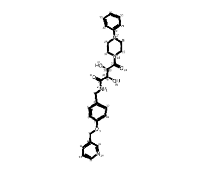 O=C(NCc1ccc(OCc2cccnc2)cc1)[C@H](O)[C@@H](O)C(=O)N1CCN(c2ccccc2)CC1